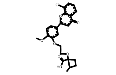 COc1ccc(-c2cc(=O)c3cccc(Cl)c3o2)cc1OCCOC1(C(=O)O)CCC1C